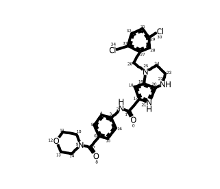 O=C(Nc1ccc(C(=O)N2CCOCC2)cc1)c1cc2c([nH]1)NCCN2Cc1cc(Cl)ccc1Cl